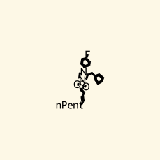 CCCCCC#CC=CS(=O)(=O)N1CCN(c2ccc(F)cc2)C(Cc2ccccc2)C1